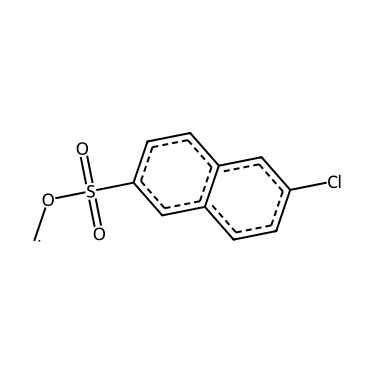 [CH2]OS(=O)(=O)c1ccc2cc(Cl)ccc2c1